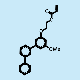 C=CC(=O)OCCOc1cc(OC)cc(-c2cccc(-c3ccccc3)c2)c1